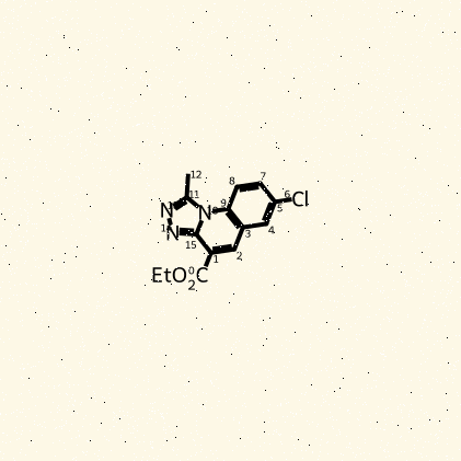 CCOC(=O)c1cc2cc(Cl)ccc2n2c(C)nnc12